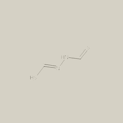 S=CN/N=C/S